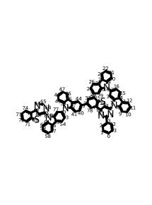 c1ccc(-c2nc(-n3c4ccccc4c4ccc(-n5c6ccccc6c6ccccc65)cc43)c3sc4ccc(-c5ccc6c(c5)c5ccccc5n6-c5ccc6c7ccccc7n(-c7ncnc8c7sc7ccccc78)c6c5)cc4c3n2)cc1